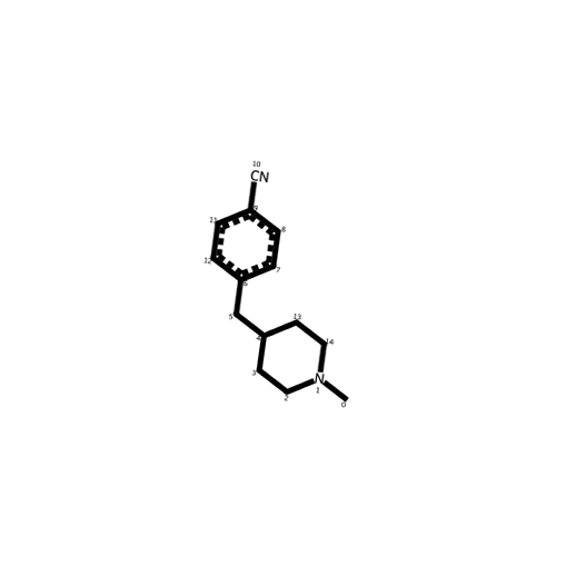 CN1CCC(Cc2ccc(C#N)cc2)CC1